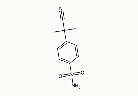 CC(C)(C#N)c1ccc(S(N)(=O)=O)cc1